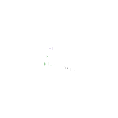 Cl.Cl.Cl.I.[Lu].[Zn]